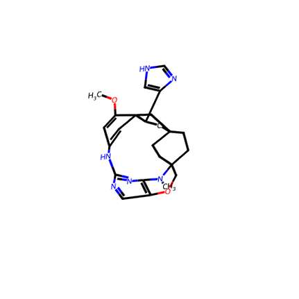 COC1=CC2=CC13CC1(CCC4(CC1)COc1cnc(nc1N4C)N2)CC3c1c[nH]cn1